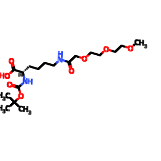 COCCOCCOCC(=O)NCCCC[C@H](NC(=O)OC(C)(C)C)C(=O)O